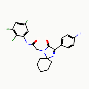 Nc1ccc(C2=NC3(CCCCC3)N(CC(=O)Nc3cc(F)cc(F)c3Cl)C2=O)cc1